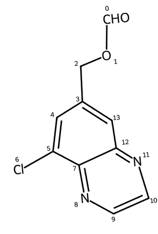 O=COCc1cc(Cl)c2nccnc2c1